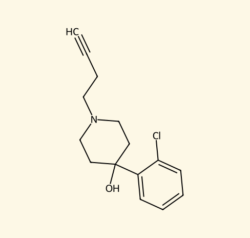 C#CCCN1CCC(O)(c2ccccc2Cl)CC1